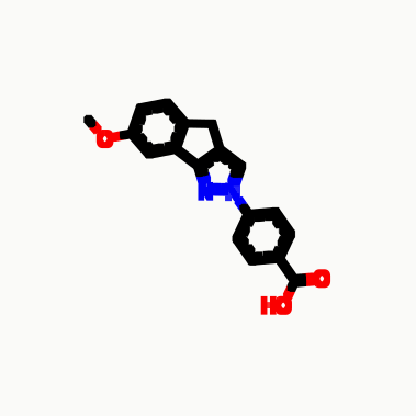 COc1ccc2c(c1)-c1nn(-c3ccc(C(=O)O)cc3)cc1C2